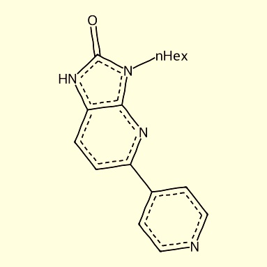 CCCCCCn1c(=O)[nH]c2ccc(-c3ccncc3)nc21